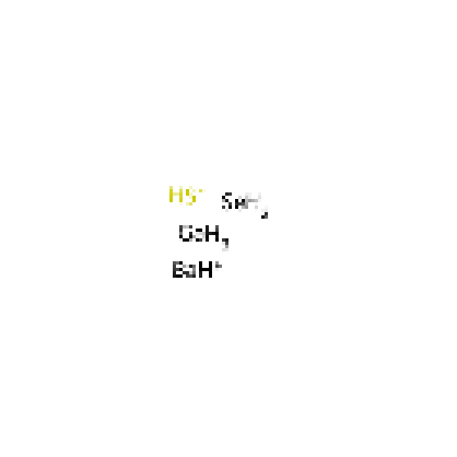 [BaH+].[GaH3].[SH-].[SeH2]